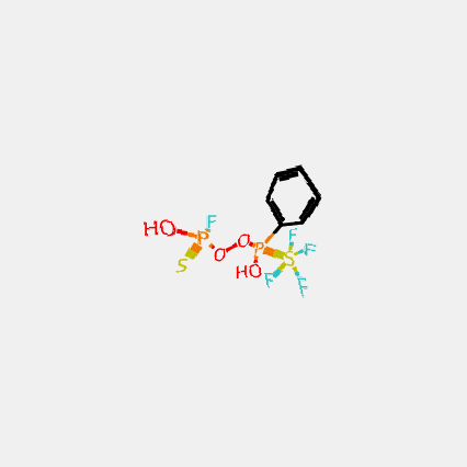 OP(F)(=S)OOP(O)(c1ccccc1)=S(F)(F)(F)F